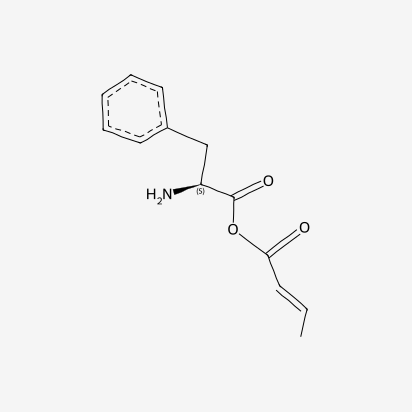 CC=CC(=O)OC(=O)[C@@H](N)Cc1ccccc1